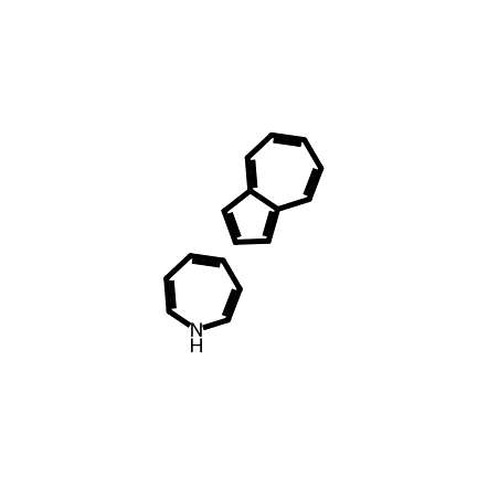 C1=CC=CNC=C1.c1ccc2cccc-2cc1